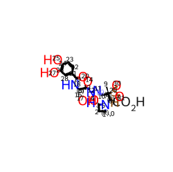 C[C@@H]1CC(=O)N1[C@@H](C(=O)O)[C@](C)(/C=N/NC(=O)[C@H](CO)NC(=O)c1ccc(O)c(O)c1)[SH](=O)=O